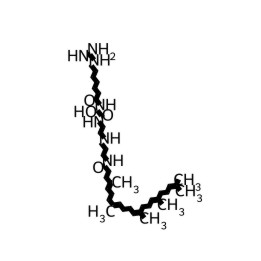 CC(C)=CCC/C(C)=C/CC/C(C)=C\CC/C=C(\C)CC/C=C(\C)CCC(=O)NCCCNCCNC(=O)C(O)NC(=O)CCCCCCNC(=N)N